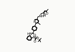 Cc1cc(CNCc2cnc(-c3ccc(C(=O)Nc4ccccc4NC(=O)OC(C)(C)C)cc3)c(C)c2)no1